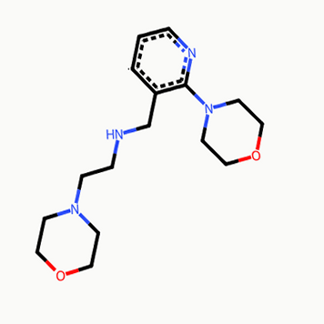 [c]1ccnc(N2CCOCC2)c1CNCCN1CCOCC1